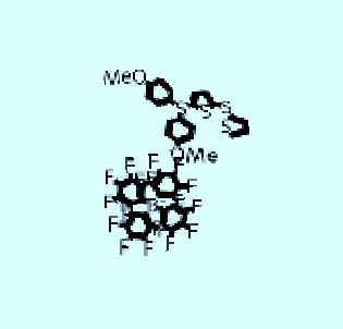 COc1ccc([S+](c2ccc(OC)cc2)c2ccc(Sc3cccs3)s2)cc1.Fc1c(F)c(F)c([B-](c2c(F)c(F)c(F)c(F)c2F)(c2c(F)c(F)c(F)c(F)c2F)c2c(F)c(F)c(F)c(F)c2F)c(F)c1F